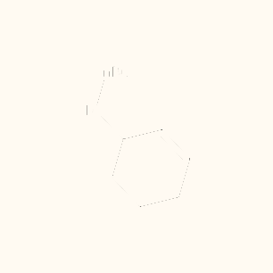 CCCC[Te]C1C=CCCC1